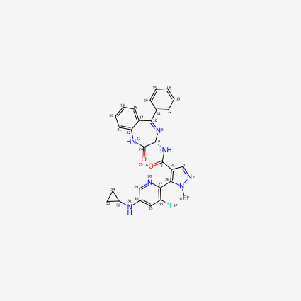 CCn1ncc(C(=O)N[C@H]2N=C(c3ccccc3)c3ccccc3NC2=O)c1-c1ncc(NC2CC2)cc1F